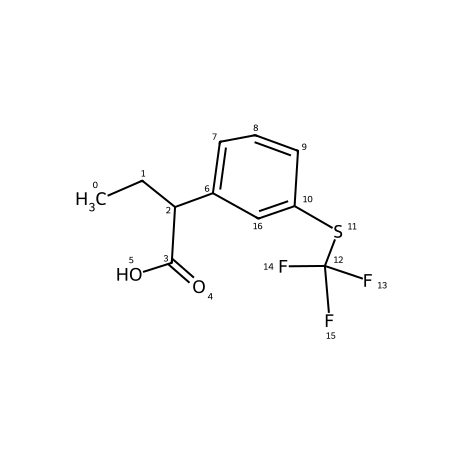 CCC(C(=O)O)c1cccc(SC(F)(F)F)c1